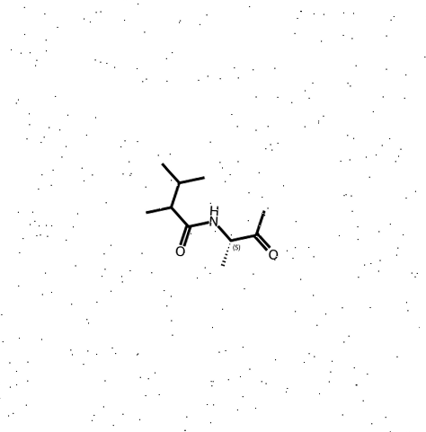 CC(=O)[C@H](C)NC(=O)C(C)C(C)C